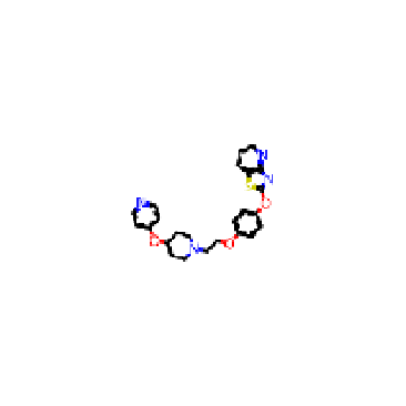 c1cnc2nc(Oc3ccc(OCCN4CCC(Oc5ccncc5)CC4)cc3)sc2c1